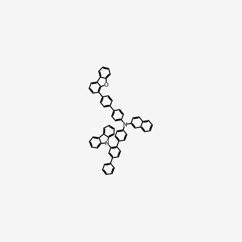 c1ccc(-c2ccc(-c3ccc(N(c4ccc(-c5ccc(-c6cccc7c6oc6ccccc67)cc5)cc4)c4ccc5ccccc5c4)cc3)c(-n3c4ccccc4c4ccccc43)c2)cc1